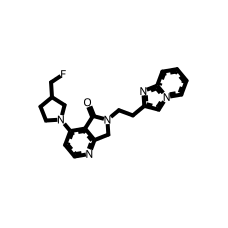 O=C1c2c(N3CCC(CF)C3)ccnc2CN1CCc1cn2ccccc2n1